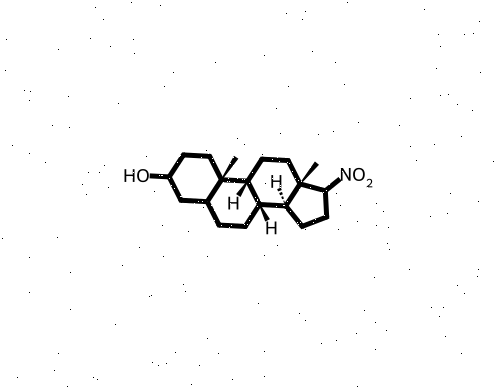 C[C@]12CCC(O)CC1CC[C@@H]1[C@H]2CC[C@]2(C)C([N+](=O)[O-])CC[C@@H]12